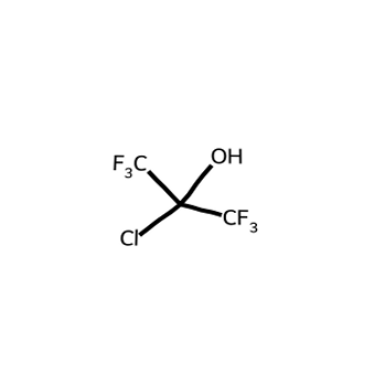 OC(Cl)(C(F)(F)F)C(F)(F)F